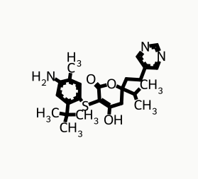 Cc1cc(SC2=C(O)CC(CCc3cncnc3)(C(C)C)OC2=O)c(C(C)(C)C)cc1N